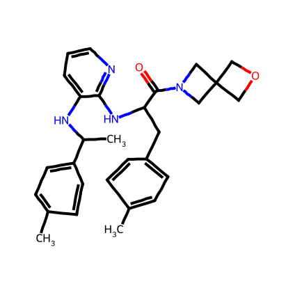 Cc1ccc(CC(Nc2ncccc2NC(C)c2ccc(C)cc2)C(=O)N2CC3(COC3)C2)cc1